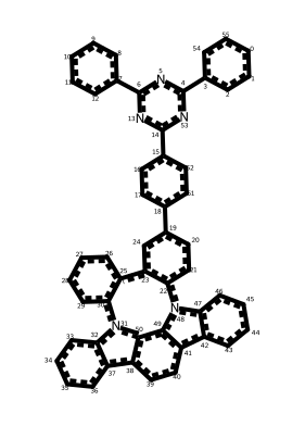 c1ccc(-c2nc(-c3ccccc3)nc(-c3ccc(-c4ccc5c(c4)c4ccccc4n4c6ccccc6c6ccc7c8ccccc8n5c7c64)cc3)n2)cc1